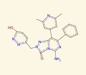 Cc1cc(-c2c(-c3ccccc3)nc(N)n3c(=O)n(Cc4ccc(O)nn4)nc23)cc(C)n1